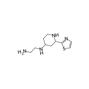 NCCNC1CCNC(c2nccs2)C1